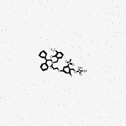 C[C@H](CCOc1cc(F)c(COP(=O)(O)O)c(S(C)(=O)=O)c1)N(Cc1cccc(C(F)(F)F)c1Cl)CC(c1ccccc1)c1ccccc1